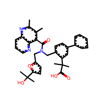 Cc1nc2cccnc2c(C(=O)N(Cc2ccc(C(C)(C)O)o2)Cc2ccc(-c3ccccc3)cc2C(C)(C)C(=O)O)c1C